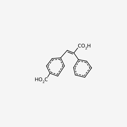 O=C(O)C(=Cc1ccc(C(=O)O)cc1)c1ccccc1